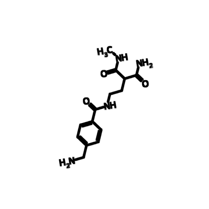 CNC(=O)C(CCNC(=O)c1ccc(CN)cc1)C(N)=O